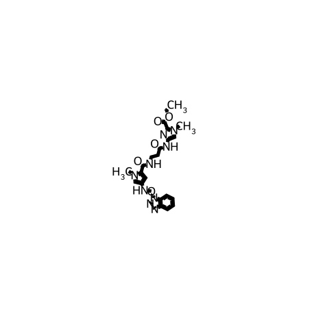 CCOC(=O)c1nc(NC(=O)CCNC(=O)c2cc(NOn3nnc4ccccc43)cn2C)cn1C